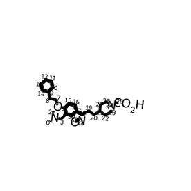 CN(C)Cc1c(OCCc2ccccc2)ccc2c(CCC3CCN(C(=O)O)CC3)noc12